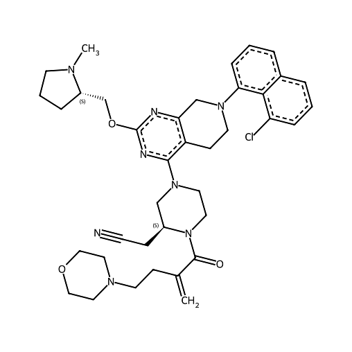 C=C(CCN1CCOCC1)C(=O)N1CCN(c2nc(OC[C@@H]3CCCN3C)nc3c2CCN(c2cccc4cccc(Cl)c24)C3)C[C@@H]1CC#N